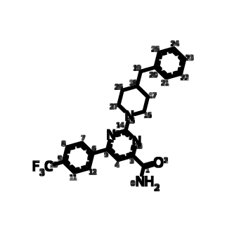 NC(=O)c1cc(-c2ccc(C(F)(F)F)cc2)nc(N2CCC(Cc3ccccc3)CC2)n1